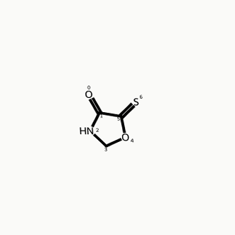 O=C1NCOC1=S